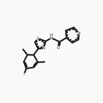 CC1=CC(I)=CC(C)C1c1csc(NC(=O)c2ccncc2)n1